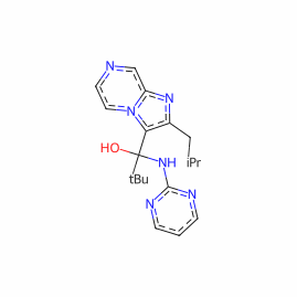 CC(C)Cc1nc2cnccn2c1C(O)(Nc1ncccn1)C(C)(C)C